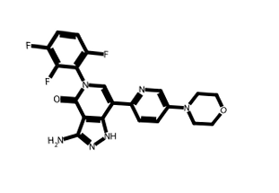 Nc1n[nH]c2c(-c3ccc(N4CCOCC4)cn3)cn(-c3c(F)ccc(F)c3F)c(=O)c12